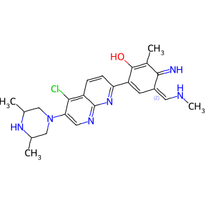 CN/C=C1/C=C(c2ccc3c(Cl)c(N4CC(C)NC(C)C4)cnc3n2)C(O)=C(C)C1=N